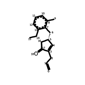 C=CCC1=C[C@@H](Cc2c(C)cccc2CC)CC1=O